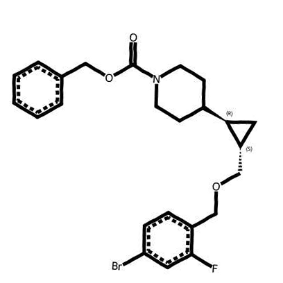 O=C(OCc1ccccc1)N1CCC([C@H]2C[C@@H]2COCc2ccc(Br)cc2F)CC1